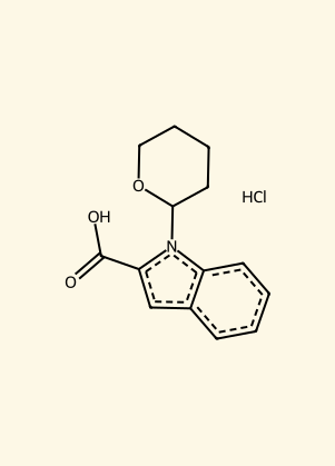 Cl.O=C(O)c1cc2ccccc2n1C1CCCCO1